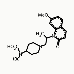 COc1ccc2ccc(=O)n(C(C)CN3CCC(N(C(=O)O)C(C)(C)C)CC3)c2c1